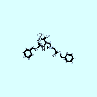 COC(=O)C(CNCC(=O)OCc1ccccc1)NC(=O)OCc1ccccc1